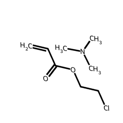 C=CC(=O)OCCCl.CN(C)C